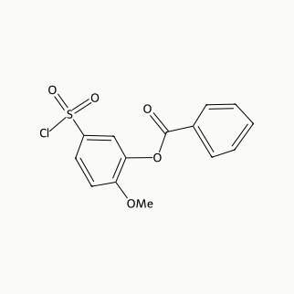 COc1ccc(S(=O)(=O)Cl)cc1OC(=O)c1ccccc1